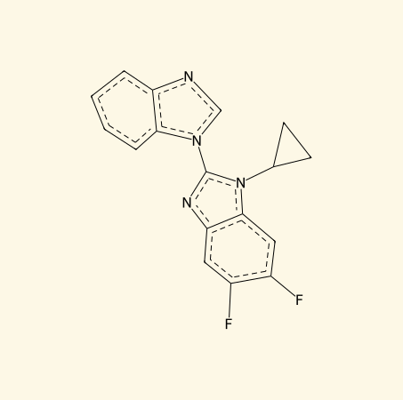 Fc1cc2nc(-n3cnc4ccccc43)n(C3CC3)c2cc1F